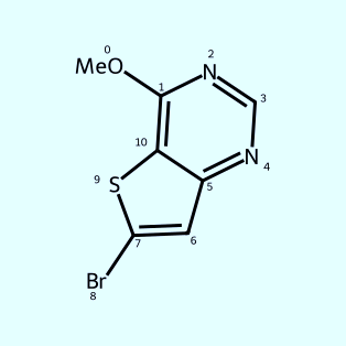 COc1ncnc2cc(Br)sc12